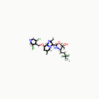 Cc1cc(OCc2c(F)cncc2F)c2nc(C)c(C(=O)NC(CCC(F)(F)C(F)(F)F)C(C)(C)O)n2c1